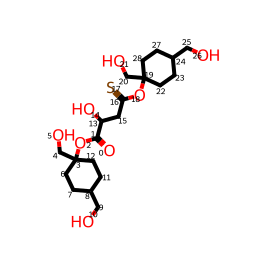 O=C(OC1(CO)CCC(CO)CC1)C(O)CC(=S)OC1(CO)CCC(CO)CC1